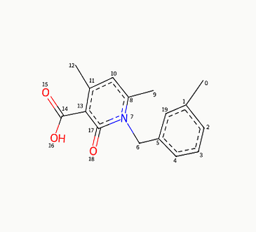 Cc1cccc(Cn2c(C)cc(C)c(C(=O)O)c2=O)c1